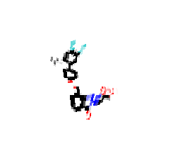 Cc1cc(F)c(F)cc1-c1ccc(OCc2cccc3c(=O)n(C[C@H](O)CO)[nH]c23)cc1